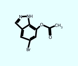 CC(=O)Oc1cc(Br)cc2cn[nH]c12